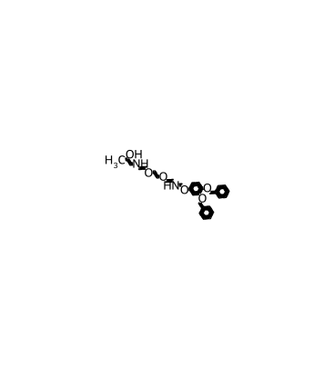 CC(O)CNCCOCCOCCNCOc1ccc(OCc2ccccc2)c(OCc2ccccc2)c1